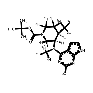 [2H]c1nc(N(C([2H])([2H])[2H])[C@@]2([2H])C([2H])([2H])N(C(=O)OC(C)(C)C)C([2H])([2H])C([2H])([2H])[C@@]2([2H])C([2H])([2H])[2H])c2cc[nH]c2n1